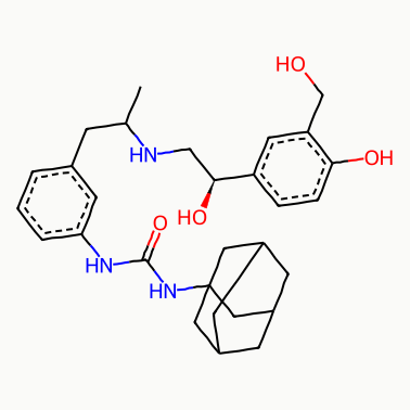 CC(Cc1cccc(NC(=O)NC23CC4CC(CC(C4)C2)C3)c1)NC[C@H](O)c1ccc(O)c(CO)c1